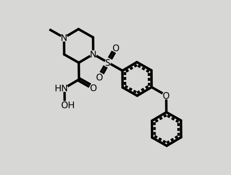 CN1CCN(S(=O)(=O)c2ccc(Oc3ccccc3)cc2)C(C(=O)NO)C1